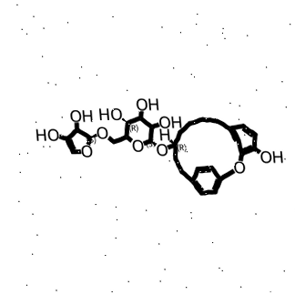 OC1=CO[C@H](OCC2O[C@H](O[C@@H]3CCCCc4ccc(O)c(c4)Oc4ccc(cc4)CC3)C(O)C(O)[C@H]2O)C1O